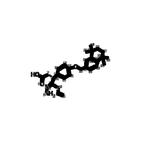 C=CS/C(=N\N)[C@H](CC(=O)O)c1ccc(OCc2ccc3c(c2)C(C)(C)CCC3(C)C)cc1